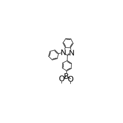 COB(OC)c1ccc(-c2nc3ccccc3n2-c2ccccc2)cc1